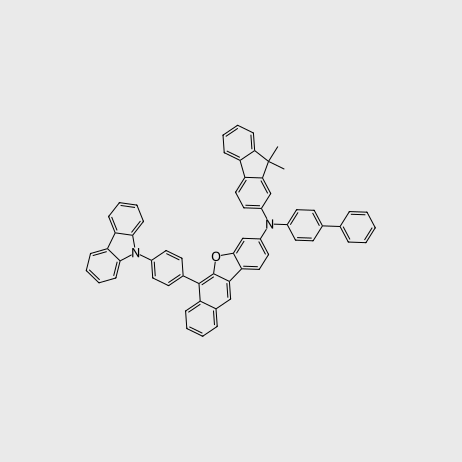 CC1(C)c2ccccc2-c2ccc(N(c3ccc(-c4ccccc4)cc3)c3ccc4c(c3)oc3c(-c5ccc(-n6c7ccccc7c7ccccc76)cc5)c5ccccc5cc34)cc21